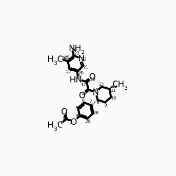 CC(=O)Oc1ccc([C@H]2CC[C@H](C)CN2C(=O)C(=O)Nc2cnc(N)c(C)c2)cc1